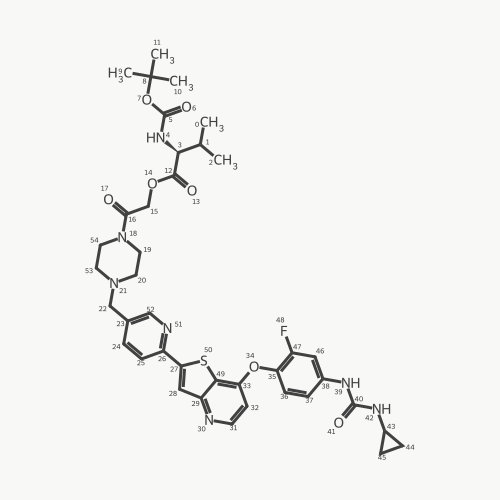 CC(C)[C@H](NC(=O)OC(C)(C)C)C(=O)OCC(=O)N1CCN(Cc2ccc(-c3cc4nccc(Oc5ccc(NC(=O)NC6CC6)cc5F)c4s3)nc2)CC1